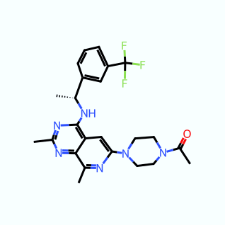 CC(=O)N1CCN(c2cc3c(N[C@H](C)c4cccc(C(F)(F)F)c4)nc(C)nc3c(C)n2)CC1